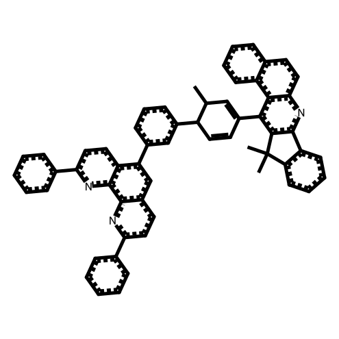 CC1C=C(c2c3c(nc4ccc5ccccc5c24)-c2ccccc2C3(C)C)C=CC1c1cccc(-c2cc3ccc(-c4ccccc4)nc3c3nc(-c4ccccc4)ccc23)c1